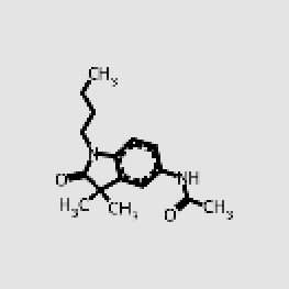 CCCCN1C(=O)C(C)(C)c2cc(NC(C)=O)ccc21